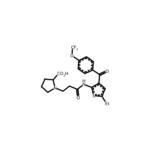 CCc1cc(C(=O)c2ccc(OC(F)(F)F)cc2)c(NC(=O)CCN2CCCC2C(=O)O)s1